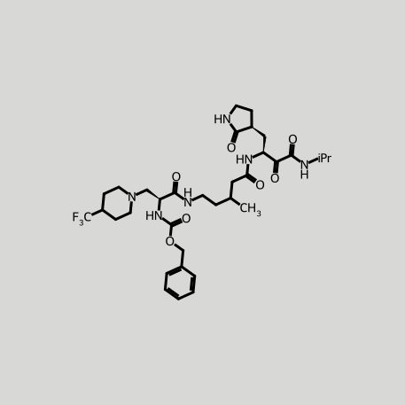 CC(CCNC(=O)[C@H](CN1CCC(C(F)(F)F)CC1)NC(=O)OCc1ccccc1)CC(=O)N[C@@H](C[C@@H]1CCNC1=O)C(=O)C(=O)NC(C)C